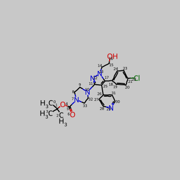 CC(C)(C)OC(=O)N1CCN(c2nn(CCO)c(-c3ccc(Cl)cc3)c2-c2ccncc2)CC1